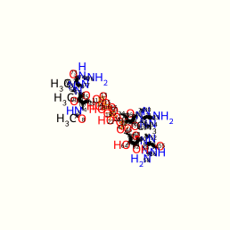 CO[C@@H]1[C@H](CNC(C)=O)[C@@H](COP(=O)(O)OP(=O)(O)OP(=O)(O)OC[C@H]2O[C@@H](n3cnc4c(N)ncnc43)[C@H](OC)[C@@H]2P(=O)([O-])OC[C@H]2O[C@@H](n3cnc4c(=O)[nH]c(N)nc43)[C@H](O)[C@@H]2O)O[C@H]1n1c[n+](C)c2c(=O)[nH]c(N)nc21